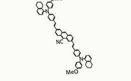 COc1ccc(N(c2ccc(C=Cc3ccc4c(C#N)c5cc(C=Cc6ccc(N(c7ccc(OC)cc7)c7cccc8c7CCCC8)cc6)ccc5cc4c3)cc2)c2cccc3c2CCCC3)cc1